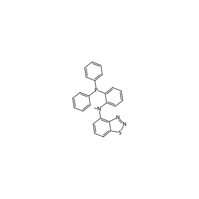 CN(c1ccccc1P(c1ccccc1)c1ccccc1)c1cccc2snnc12